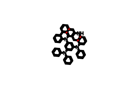 c1ccc(-c2ccccc2N(c2cc(N(c3ccccc3)c3ccccc3)cc(N(c3ccccc3)c3ccccc3)c2)c2cccc3c2CCCN3)cc1